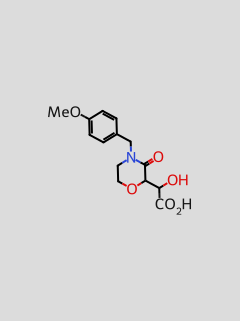 COc1ccc(CN2CCOC(C(O)C(=O)O)C2=O)cc1